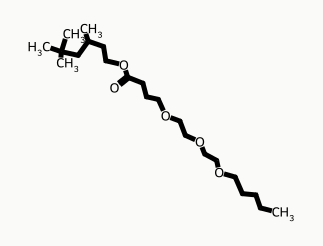 CCCCCOCCOCCOCCCC(=O)OCCC(C)CC(C)(C)C